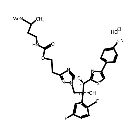 CNC(C)CCNC(=O)OCCC1=NN(C[C@](O)(c2cc(F)ccc2F)[C@@H](C)c2nc(-c3ccc(C#N)cc3)cs2)C=[N+]1.Cl.[Cl-]